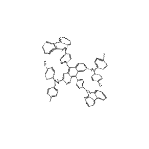 Cc1ccc(N(c2ccc3c(-c4ccc(-n5c6ccccc6c6ccccc65)cc4)c4cc(N(c5ccc(C)cc5)C5C=CC(F)=CC5)ccc4c(-c4ccc(-n5c6ccccc6c6ccccc65)cc4)c3c2)C2C=CC(F)=CC2)cc1